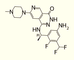 C[C@@H](Nc1n[nH]c(=O)c2cnc(N3CCN(C)CC3)cc12)c1cc(N)cc(C(F)F)c1F